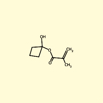 C=C(C)C(=O)OC1(O)CCC1